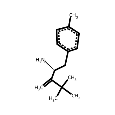 C=C([C@H](N)Cc1ccc(C)cc1)C(C)(C)C